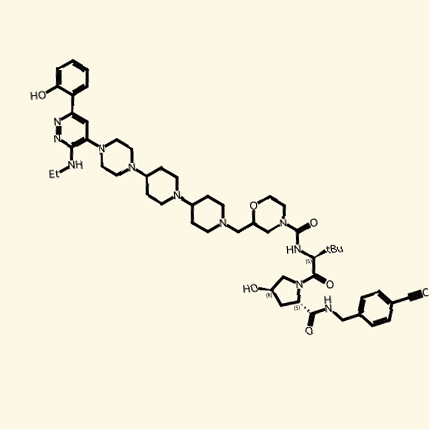 C#Cc1ccc(CNC(=O)[C@@H]2C[C@@H](O)CN2C(=O)[C@@H](NC(=O)N2CCOC(CN3CCC(N4CCC(N5CCN(c6cc(-c7ccccc7O)nnc6NCC)CC5)CC4)CC3)C2)C(C)(C)C)cc1